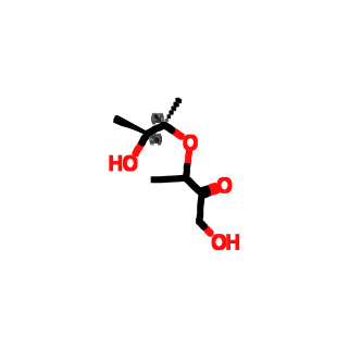 CC(O[C@@H](C)[C@H](C)O)C(=O)CO